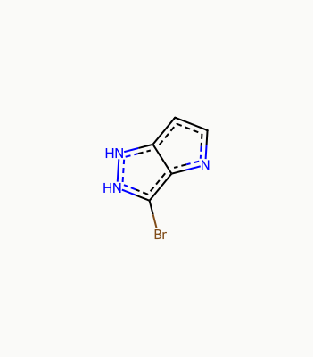 Brc1[nH][nH]c2ccnc1-2